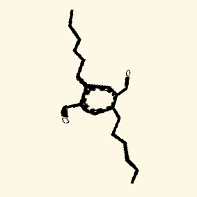 CCCCCCc1cc(C=O)c(CCCCCC)cc1C=O